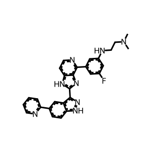 CN(C)CCNc1cc(F)cc(-c2nccc3[nH]c(-c4n[nH]c5ccc(-c6ccccn6)cc45)nc23)c1